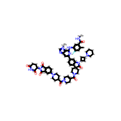 Cc1cc(F)c(Nc2nc(-c3ccc4c(c3)N([C@H]3C[C@@H](N5CCCCC5)C3)C(=O)C43CCN(C(=O)C4=CCN(C(=O)C5CCN(c6ccc7c(c6)C(=O)N(C6CCC(=O)NC6=O)C7=O)CC5)CC4)CC3)cc3ncn(C(C)C)c23)cc1C(=O)NC(C)C